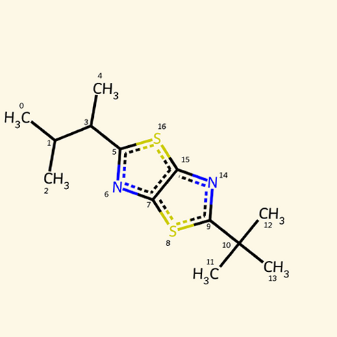 CC(C)C(C)c1nc2sc(C(C)(C)C)nc2s1